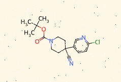 CC(C)(C)OC(=O)N1CCC(C#N)(c2ccc(Cl)nc2)CC1